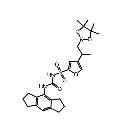 CC(CB1OC(C)(C)C(C)(C)O1)c1coc(S(=O)(=O)NC(=O)Nc2c3c(cc4c2CCC4)CCC3)c1